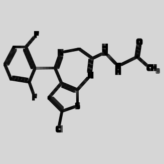 CC(=O)NNC1=Nc2sc(Cl)cc2C(c2c(F)cccc2F)=NC1